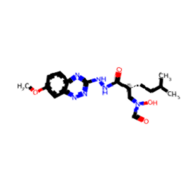 COc1ccc2nc(NNC(=O)[C@H](CCC(C)C)CN(O)C=O)nnc2c1